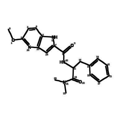 COc1ccc2[nH]c(C(=O)NC(Cc3ccccc3)C(=O)N(C)C)cc2n1